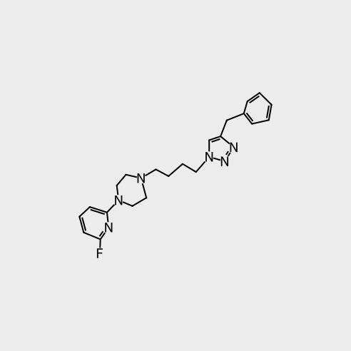 Fc1cccc(N2CCN(CCCCn3cc(Cc4ccccc4)nn3)CC2)n1